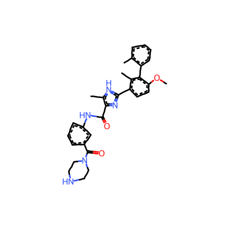 COc1ccc(-c2nc(C(=O)Nc3cccc(C(=O)N4CCNCC4)c3)c(C)[nH]2)c(C)c1-c1ccccc1C